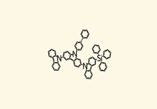 c1ccc(-c2ccc(-n3c4ccc(-n5c6ccccc6c6ccccc65)cc4c4ccc(-n5c6ccccc6c6cc([Si](c7ccccc7)(c7ccccc7)c7ccccc7)ccc65)cc43)cc2)cc1